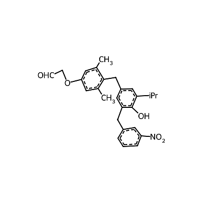 Cc1cc(OCC=O)cc(C)c1Cc1cc(Cc2cccc([N+](=O)[O-])c2)c(O)c(C(C)C)c1